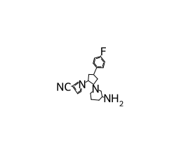 N#Cc1ccn(C2CC(c3ccc(F)cc3)CC2N2CCCC(N)C2)c1